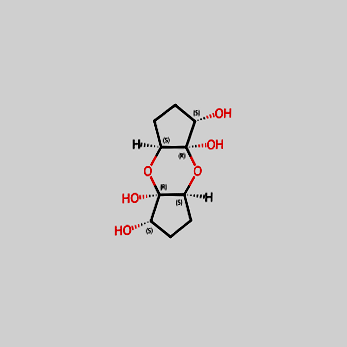 O[C@H]1CC[C@@H]2O[C@@]3(O)[C@H](CC[C@@H]3O)O[C@@]21O